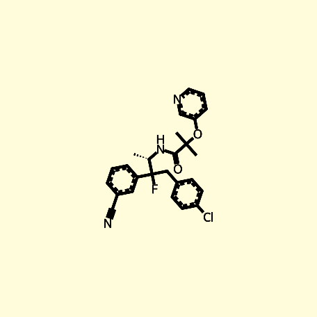 C[C@H](NC(=O)C(C)(C)Oc1cccnc1)C(F)(Cc1ccc(Cl)cc1)c1cccc(C#N)c1